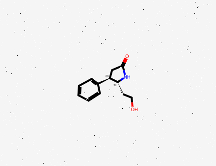 O=C1C[C@H](c2ccccc2)[C@@H](CCO)N1